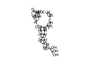 C=C1C[C@@H]2CCO[C@H]3[C@@H]4O[C@H]5CC[C@H](CC(=O)O[C@@H]6[C@@H](C)[C@@H]7O[C@@H]8C[C@]9(C[C@@H]%10O[C@]%11(C[C@H](C)[C@@H]%12O[C@H]([C@@H](O)C[C@@H](O)CO)C[C@@H]%12O%11)C[C@H](C)[C@@H]%10O9)O[C@@H]8C[C@@H]7O[C@H]6C[C@H]6O[C@@H](CC[C@@H]1O2)C[C@@H](C)C6=C)O[C@@H]5[C@@H]1OCC[C@H]3O[C@@H]14